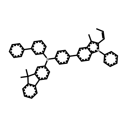 C/C=C\c1c(C)c2cc(-c3ccc(N(c4cccc(-c5ccccc5)c4)c4ccc5c(c4)C(C)(C)c4ccccc4-5)cc3)ccc2n1-c1ccccc1